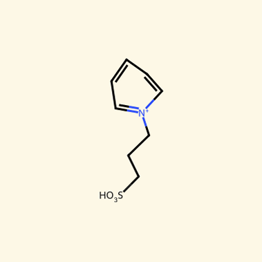 O=S(=O)(O)CCC[n+]1ccccc1